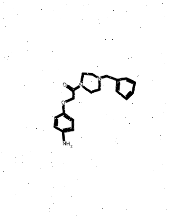 Nc1ccc(OCC(=O)N2CCN(Cc3ccccc3)CC2)cc1